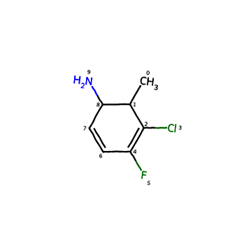 CC1C(Cl)=C(F)C=CC1N